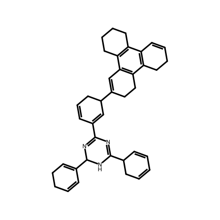 C1=CCC(C2=NC(C3=CC(C4=Cc5c6c(c7c(c5CC4)CCC=C7)CCCC6)CC=C3)=NC(C3=CCCC=C3)N2)C=C1